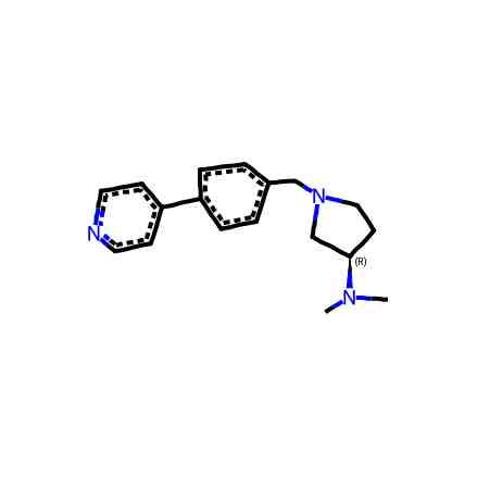 CN(C)[C@@H]1CCN(Cc2ccc(-c3ccncc3)cc2)C1